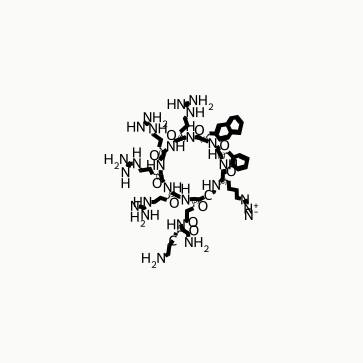 [N-]=[N+]=NCCCC[C@@H]1NCCC(=O)[C@H](CCC(=O)N[C@@H](CCCCN)C(N)=O)NC(=O)[C@H](CCCNC(=N)N)NC(=O)[C@H](CCCNC(=N)N)NC(=O)[C@H](CCCNC(=N)N)NC(=O)[C@H](CCCNC(=N)N)NC(=O)[C@H](Cc2ccc3ccccc3c2)NC(=O)[C@H](Cc2ccccc2)NC1=O